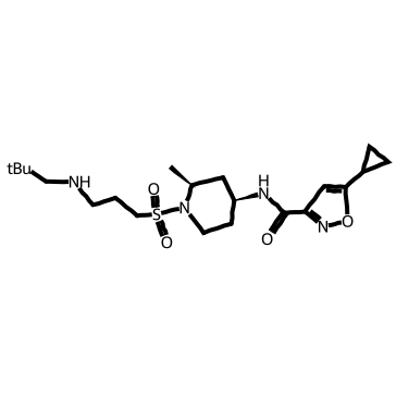 C[C@H]1C[C@@H](NC(=O)c2cc(C3CC3)on2)CCN1S(=O)(=O)CCCNCC(C)(C)C